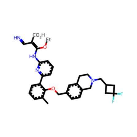 CCO/C(Nc1cccc(-c2cccc(C)c2OCc2ccc3c(c2)CCN(CC2CC(F)(F)C2)C3)n1)=C(/C=N)C(=O)O